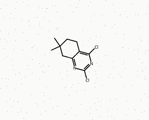 CC1(C)CCc2c(Cl)nc(Cl)nc2C1